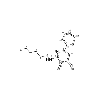 CCCCCCNc1nc(-c2ccncc2)cc(=O)n1C